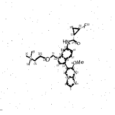 COc1nc2nccn2cc1-c1cn(COCC[Si](C)(C)C)c2nc(NC(=O)[C@@H]3C[C@@H]3F)ccc12